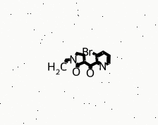 C=CN1CCC(C(=O)c2ncccc2Br)C1=O